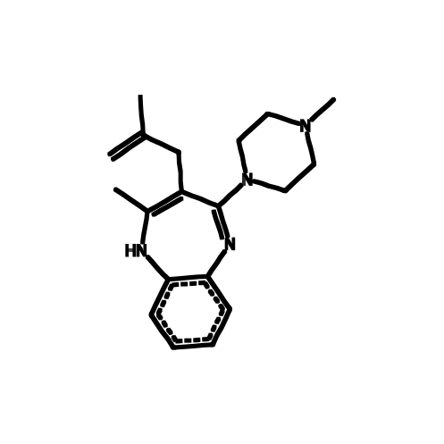 C=C(C)CC1=C(C)Nc2ccccc2N=C1N1CCN(C)CC1